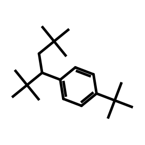 CC(C)(C)CC(c1ccc(C(C)(C)C)cc1)C(C)(C)C